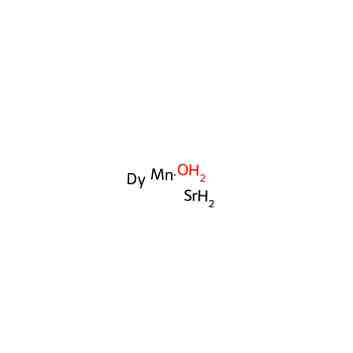 O.[Dy].[Mn].[SrH2]